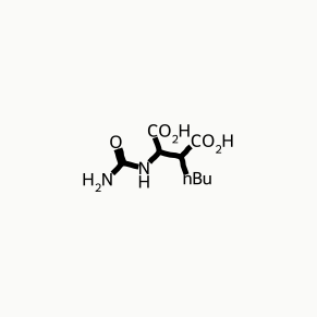 CCCCC(C(=O)O)C(NC(N)=O)C(=O)O